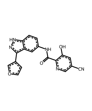 N#Cc1cnc(C(=O)Nc2ccc3[nH]nc(-c4ccoc4)c3c2)c(O)c1